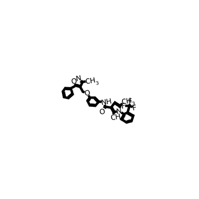 Cc1noc(-c2ccccc2)c1COc1cccc(NC(=O)c2cc(C)n(-c3ccccc3C(F)(F)F)c2C)c1